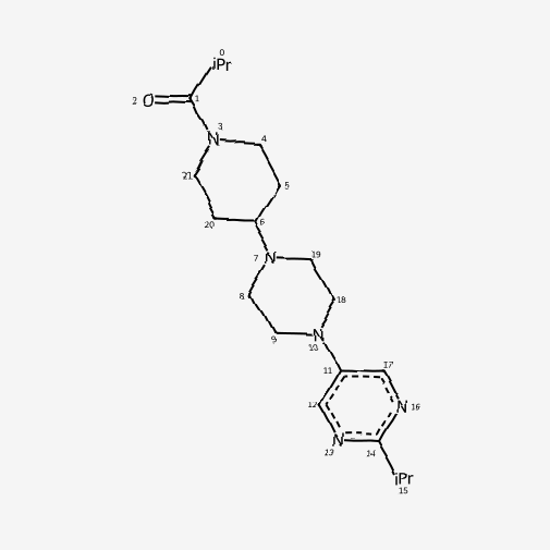 CC(C)C(=O)N1CCC(N2CCN(c3cnc(C(C)C)nc3)CC2)CC1